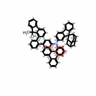 CC1(C)c2ccccc2-c2cccc(-c3ccccc3-c3ccc(N(c4ccc5c(c4)C4(c6ccccc6-5)C5CC6CC(C5)CC4C6)c4ccccc4-c4ccccc4-c4ccccc4-c4ccccc4)cc3)c21